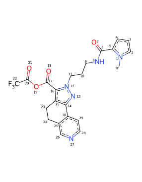 Cn1cccc1C(=O)NCCCn1nc2c(c1C(=O)OC(=O)C(F)(F)F)CCc1cnccc1-2